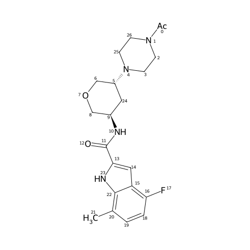 CC(=O)N1CCN([C@H]2COC[C@H](NC(=O)c3cc4c(F)ccc(C)c4[nH]3)C2)CC1